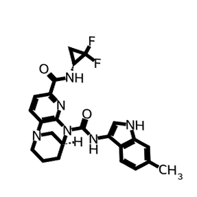 Cc1ccc2c(NC(=O)N3c4nc(C(=O)N[C@@H]5CC5(F)F)ccc4N4CCC[C@H]3C4)c[nH]c2c1